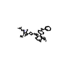 CN(C)C/C=C(\C#N)C(=O)N[C@H]1C[C@@H](Nc2ncnc(N)c2-c2ccc(Oc3ccccc3)cc2)C1